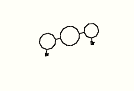 BrC1CCCCCCC(C2CCCCCC(C3CCCCCCC(Br)C3)CCCCC2)CC1